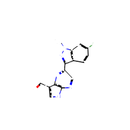 Cn1nc(-c2cnc3[nH]cc([C]=O)c3n2)c2ccc(F)cc21